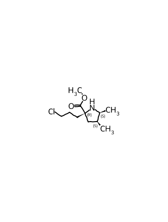 COC(=O)[C@@]1(CCCCl)C[C@H](C)[C@H](C)N1